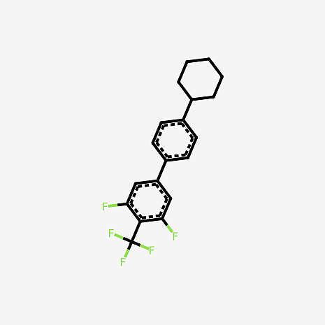 Fc1cc(-c2ccc(C3CCCCC3)cc2)cc(F)c1C(F)(F)F